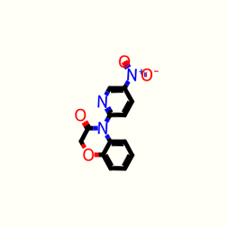 O=C1COc2ccccc2N1c1ccc([N+](=O)[O-])cn1